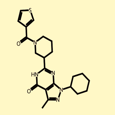 Cc1nn(C2CCCCC2)c2nc(C3CCCN(C(=O)c4ccsc4)C3)[nH]c(=O)c12